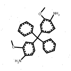 COc1cc(C(c2ccccc2)(c2ccccc2)c2ccc(N)c(OC)c2)ccc1N